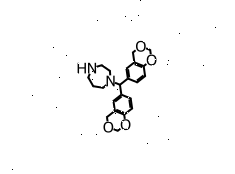 c1cc2c(cc1C(c1ccc3c(c1)COCO3)N1CCCNCC1)COCO2